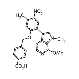 COc1nccc2c(-c3cc([N+](=O)[O-])c(C)cc3OCc3ccc(C(=O)O)cc3)cn(C)c12